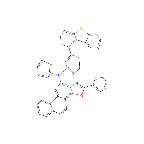 c1ccc(-c2nc3c(N(c4ccccc4)c4cccc(-c5cccc6sc7ccccc7c56)c4)cc4c5ccccc5ccc4c3o2)cc1